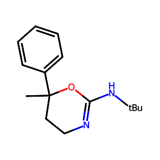 CC(C)(C)NC1=NCCC(C)(c2ccccc2)O1